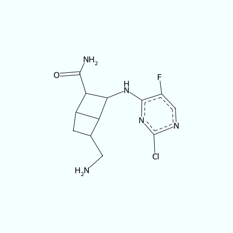 NCC1CC2C(C(N)=O)C(Nc3nc(Cl)ncc3F)C12